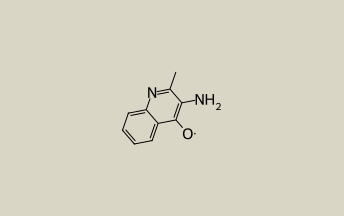 Cc1nc2ccccc2c([O])c1N